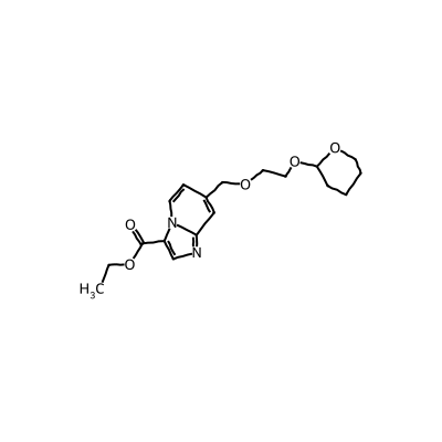 CCOC(=O)c1cnc2cc(COCCOC3CCCCO3)ccn12